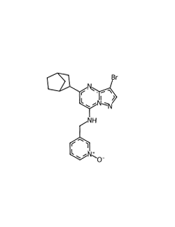 [O-][n+]1cccc(CNc2cc(C3CC4CCC3C4)nc3c(Br)cnn23)c1